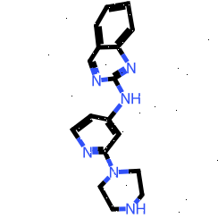 c1ccc2nc(Nc3ccnc(N4CCNCC4)c3)ncc2c1